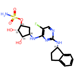 NS(=O)(=O)O[C@H]1C[C@@H](Nc2nc(N[C@H]3CCc4ccccc43)ncc2F)[C@H](O)[C@@H]1O